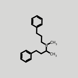 CC(CCc1ccccc1)N(C)CCCc1ccccc1